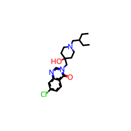 CCC(CC)CN1CCC(O)(Cn2cnc3cc(Cl)ccc3c2=O)CC1